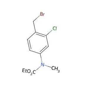 CCOC(=O)N(C)c1ccc(CBr)c(Cl)c1